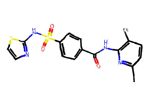 CCc1ccc(C)nc1NC(=O)c1ccc(S(=O)(=O)Nc2nccs2)cc1